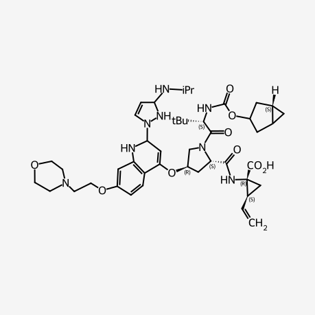 C=C[C@@H]1C[C@]1(NC(=O)[C@@H]1C[C@@H](OC2=CC(N3C=CC(NC(C)C)N3)Nc3cc(OCCN4CCOCC4)ccc32)CN1C(=O)[C@@H](NC(=O)OC1CC2C[C@H]2C1)C(C)(C)C)C(=O)O